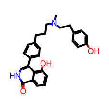 CN(CCCc1ccc(-c2c[nH]c(=O)c3cccc(O)c23)cc1)CCc1ccc(O)cc1